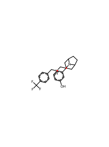 Oc1cccc(C2CC3CCC(C2)N3CCNCc2ccc(C(F)(F)F)cc2)c1